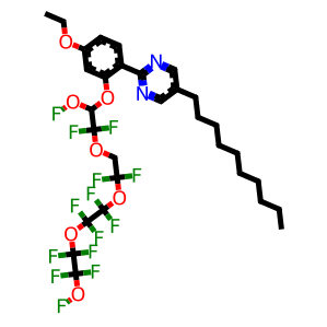 CCCCCCCCCCc1cnc(-c2ccc(OCC)cc2OC(OF)C(F)(F)OCC(F)(F)OC(F)(F)C(F)(F)OC(F)(F)C(F)(F)OF)nc1